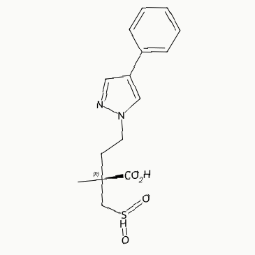 C[C@](CCn1cc(-c2ccccc2)cn1)(C[SH](=O)=O)C(=O)O